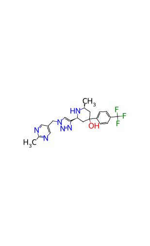 Cc1ncc(Cn2cc([C@@H]3CC(O)(c4ccc(C(F)(F)F)cc4)C[C@H](C)N3)nn2)cn1